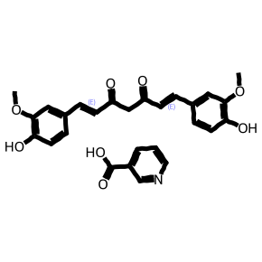 COc1cc(/C=C/C(=O)CC(=O)/C=C/c2ccc(O)c(OC)c2)ccc1O.O=C(O)c1cccnc1